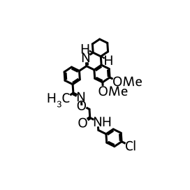 COc1cc2c(cc1OC)[C@H]1CCCC[C@H]1N=C2c1cccc(C(C)=NOCC(=O)NCc2ccc(Cl)cc2)c1